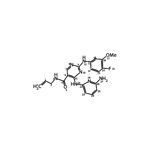 C=CCNC(=O)c1cnc(Nc2ccc(F)c(OC)c2)nc1Nc1cccc(N)n1